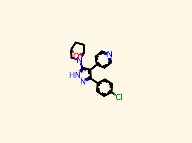 Clc1ccc(-c2n[nH]c(N3CC4CCC3O4)c2-c2ccncc2)cc1